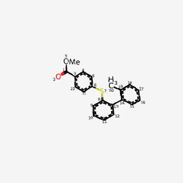 COC(=O)c1ccc(Sc2ccccc2-c2ccccc2C)cc1